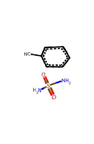 N#Cc1ccccc1.NS(N)(=O)=O